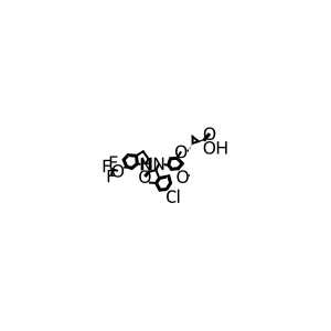 COc1cc(NC(C(=O)N2CCc3ccc(OC(F)(F)F)cc32)c2ccc(Cl)cc2C)cc(OC[C@@H]2C[C@H]2C(=O)O)c1